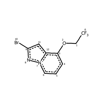 FC(F)(F)COc1cccn2nc(Br)cc12